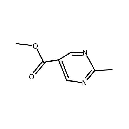 COC(=O)c1cnc(C)nc1